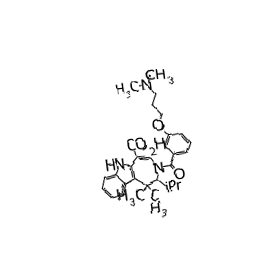 CC(C)C1N(C(=O)c2cccc(OCCCN(C)C)c2)C=C(C(=O)O)c2[nH]c3ccccc3c2C1(C)C